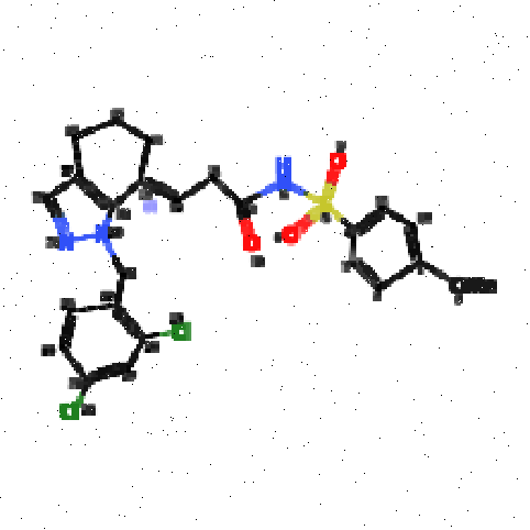 COc1ccc(S(=O)(=O)NC(=O)C/C=C2\CCCc3cnn(Cc4ccc(Cl)cc4Cl)c32)cc1